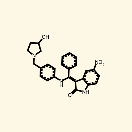 O=C1Nc2ccc([N+](=O)[O-])cc2C1=C(Nc1ccc(CN2CCC(O)C2)cc1)c1ccccc1